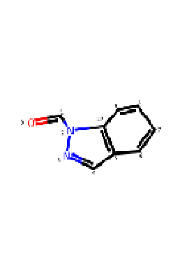 O=Cn1ncc2[c]cccc21